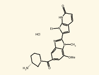 CCn1c(-c2nc3cc(C(=O)N4CCC[C@@H](N)C4)cc(OC)c3n2C)cc2ccc(=O)[nH]c21.Cl